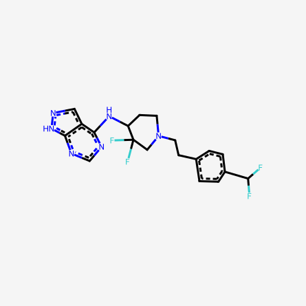 FC(F)c1ccc(CCN2CCC(Nc3ncnc4[nH]ncc34)C(F)(F)C2)cc1